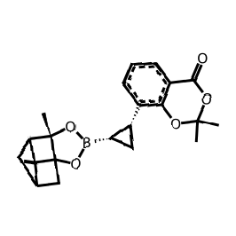 CC1(C)OC(=O)c2cccc([C@@H]3C[C@@H]3B3OC45CC6CC(C64C)[C@]5(C)O3)c2O1